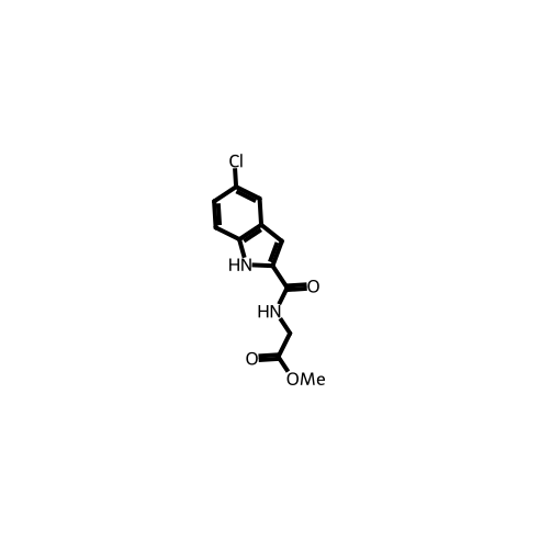 COC(=O)CNC(=O)c1cc2cc(Cl)ccc2[nH]1